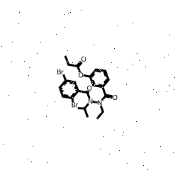 CCC(=O)Oc1cccc(C(=O)N(CC)N(C(=O)c2cc(Br)ccc2Br)C(C)C)c1